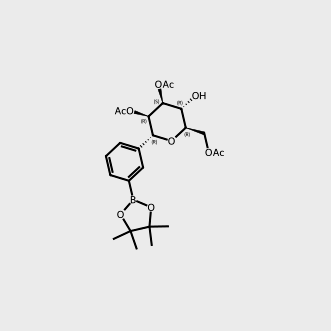 CC(=O)OC[C@H]1O[C@H](c2cccc(B3OC(C)(C)C(C)(C)O3)c2)[C@@H](OC(C)=O)[C@@H](OC(C)=O)[C@@H]1O